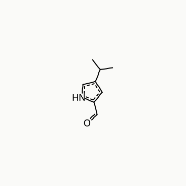 CC(C)c1c[nH]c(C=O)c1